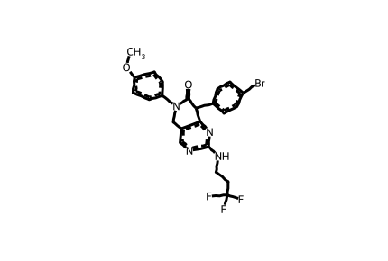 COc1ccc(N2Cc3cnc(NCCC(F)(F)F)nc3C(c3ccc(Br)cc3)C2=O)cc1